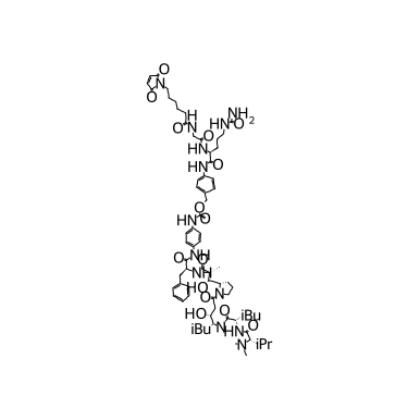 CC[C@@H](C)[C@H](NC(=O)[C@H](C(C)C)N(C)C)C(=O)N(C)[C@H]([C@H](O)CC(=O)N1CCC[C@H]1[C@H](O)[C@@H](C)C(=O)N[C@@H](Cc1ccccc1)C(=O)Nc1ccc(NC(=O)OCc2ccc(NC(=O)[C@H](CCCNC(N)=O)NC(=O)CNC(=O)CCCCCN3C(=O)C=CC3=O)cc2)cc1)[C@@H](C)CC